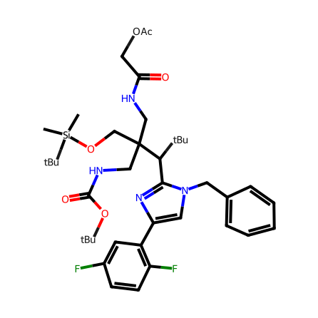 CC(=O)OCC(=O)NCC(CNC(=O)OC(C)(C)C)(CO[Si](C)(C)C(C)(C)C)C(c1nc(-c2cc(F)ccc2F)cn1Cc1ccccc1)C(C)(C)C